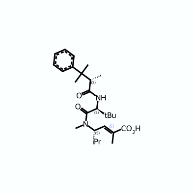 C/C(=C\[C@H](C(C)C)N(C)C(=O)[C@@H](NC(=O)[C@@H](C)C(C)(C)c1ccccc1)C(C)(C)C)C(=O)O